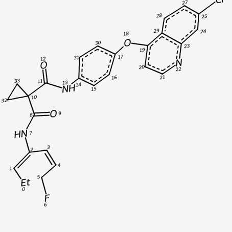 CC/C=C(\C=C/CF)NC(=O)C1(C(=O)Nc2ccc(Oc3ccnc4cc(Cl)ccc34)cc2)CC1